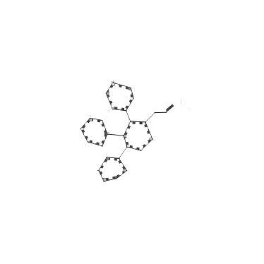 C=CCc1ccc(-c2ccccc2)c(-c2ccccc2)c1-c1ccccc1